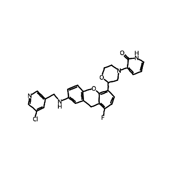 O=c1[nH]cccc1N1CCOC(c2ccc(F)c3c2Oc2ccc(NCc4cncc(Cl)c4)cc2C3)C1